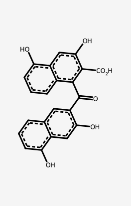 O=C(O)c1c(O)cc2c(O)cccc2c1C(=O)c1cc2cccc(O)c2cc1O